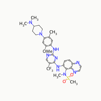 COc1cc(N2CCC(N(C)C)CC2)c(C)cc1Nc1ncc(C(F)(F)F)c(Nc2ccc3nccnc3c2N(C)S(C)(=O)=O)n1